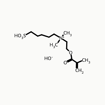 C=C(C)C(=O)OCC[N+](C)(C)CCCCCS(=O)(=O)O.[OH-]